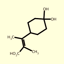 CC(C(=O)O)=C(C)C1CCC(O)(O)CC1